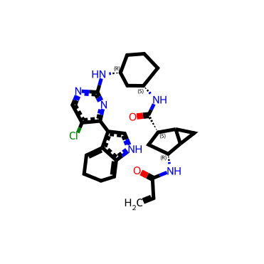 C=CC(=O)N[C@@H]1C[C@H](C(=O)N[C@H]2CCC[C@@H](Nc3ncc(Cl)c(-c4c[nH]c5c4=CCCC=5)n3)C2)C2CC21